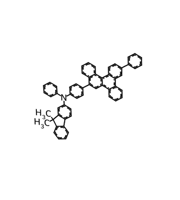 CC1(C)c2ccccc2-c2ccc(N(c3ccccc3)c3ccc(-c4cc5c6ccccc6c6cc(-c7ccccc7)ccc6c5c5ccccc45)cc3)cc21